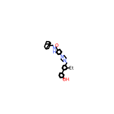 CCc1cc(-c2cccc(O)c2)ccc1CN1CCN(c2ccc(C(=O)NCC34CC5CC(CC(C5)C3)C4)cc2)CC1